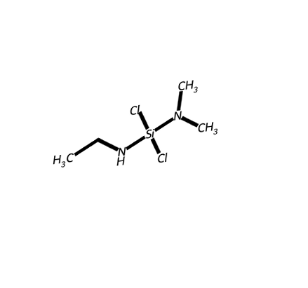 CCN[Si](Cl)(Cl)N(C)C